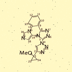 COC1(c2cn(-c3nnc4c5ccccc5n5cncc5n34)nn2)CC1